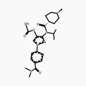 CC(C)N(c1nn(-c2ccc(C(=O)N(C)C)cc2)cc1OC(=O)O)C(=O)[C@H]1CC[C@H](C)CC1